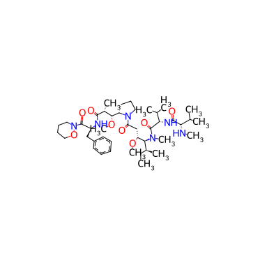 CC[C@H](C)[C@@H]([C@@H](CC(=O)N1CCC[C@H]1[C@H](OC)[C@@H](C)C(=O)N[C@@H](Cc1ccccc1)C(=O)N1CCCCO1)OC)N(C)C(=O)[C@@H](NC(=O)[C@@H](NC)C(C)C)C(C)C